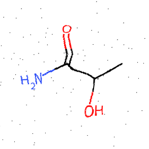 C[C](O)C(N)=O